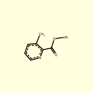 CCCOC(=O)c1ncccc1C